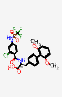 COc1cccc(OC)c1-c1ccc(C[C@H](NC(=O)c2ccc(NS(=O)(=O)C(F)(F)F)cc2Cl)C(=O)O)cc1